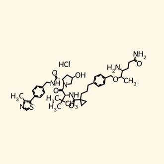 Cc1ncsc1-c1ccc(CNC(=O)[C@@H]2C[C@@H](O)CN2C(=O)[C@@H](NC(=O)C2(CCCc3ccc(CO[C@H](C)[C@@H](N)CCC(N)=O)cc3)CC2)C(C)(C)C)cc1.Cl